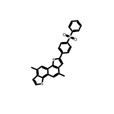 Cc1cc2c(cc(C)c3cc(-c4ccc(S(=O)(=O)c5ccccc5)cc4)sc32)c2sccc12